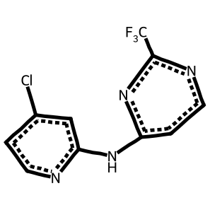 FC(F)(F)c1nccc(Nc2cc(Cl)ccn2)n1